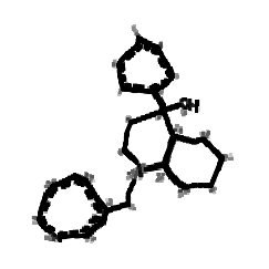 OC1(c2ccccc2)CCN(Cc2cccnc2)C2CCCCC21